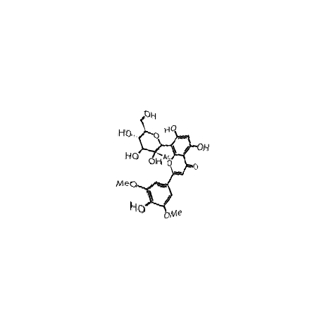 COc1cc(-c2cc(=O)c3c(O)cc(O)c(C4O[C@H](CO)[C@@H](O)[C@H](O)[C@]4(O)C(C)=O)c3o2)cc(OC)c1O